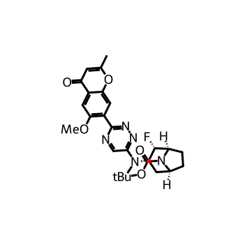 COc1cc2c(=O)cc(C)oc2cc1-c1ncc(N(C)[C@H]2C[C@@H]3CC[C@H]([C@H]2F)N3C(=O)OC(C)(C)C)nn1